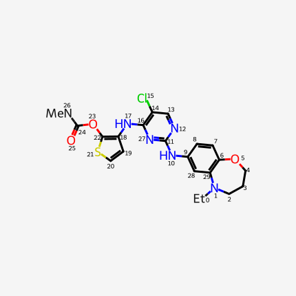 CCN1CCCOc2ccc(Nc3ncc(Cl)c(Nc4ccsc4OC(=O)NC)n3)cc21